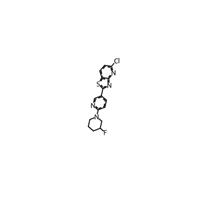 FC1CCCN(c2ccc(-c3nc4nc(Cl)ccc4s3)cn2)C1